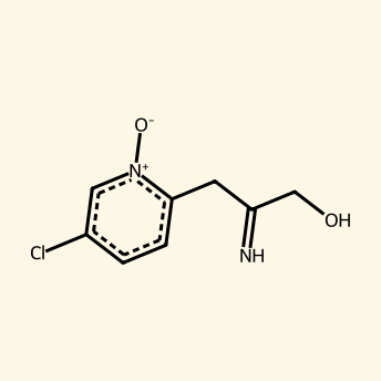 N=C(CO)Cc1ccc(Cl)c[n+]1[O-]